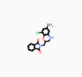 O=C1c2ccccc2C(=O)N1CC1CNc2cc([N+](=O)[O-])cc(Cl)c2O1